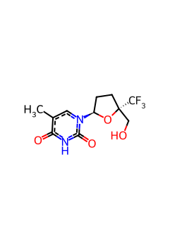 Cc1cn([C@H]2CC[C@](CO)(C(F)(F)F)O2)c(=O)[nH]c1=O